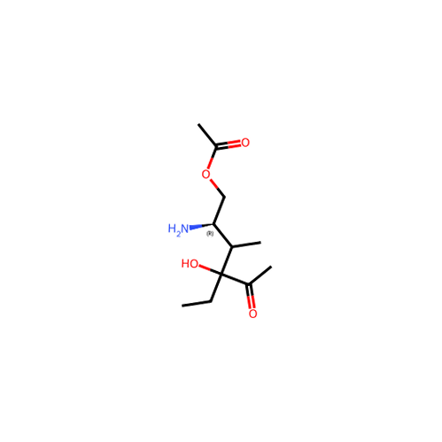 CCC(O)(C(C)=O)C(C)[C@@H](N)COC(C)=O